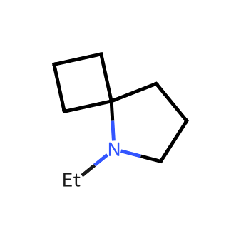 [CH2]CN1CCCC12CCC2